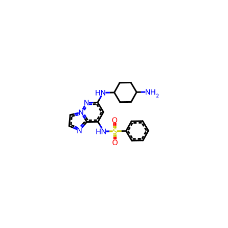 NC1CCC(Nc2cc(NS(=O)(=O)c3ccccc3)c3nccn3n2)CC1